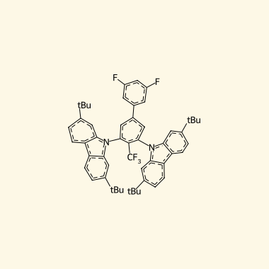 CC(C)(C)c1ccc2c3ccc(C(C)(C)C)cc3n(-c3cc(-c4cc(F)cc(F)c4)cc(-n4c5cc(C(C)(C)C)ccc5c5ccc(C(C)(C)C)cc54)c3C(F)(F)F)c2c1